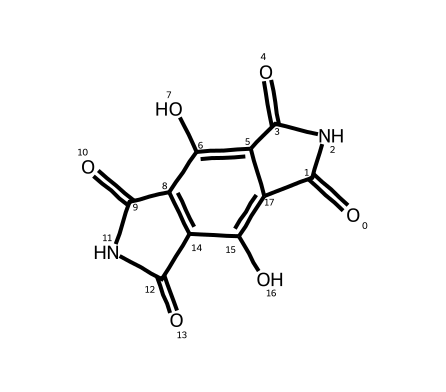 O=c1[nH]c(=O)c2c(O)c3c(=O)[nH]c(=O)c3c(O)c12